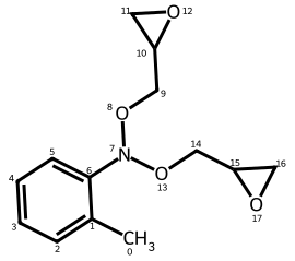 Cc1ccccc1N(OCC1CO1)OCC1CO1